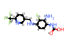 Nc1c(NC(=O)O)ccc(NCc2ccc(C(F)(F)F)nc2)c1F